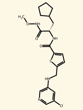 CONC(=O)[C@H](CC1CCCC1)NC(=O)c1ccc(CNc2cncc(Cl)c2)s1